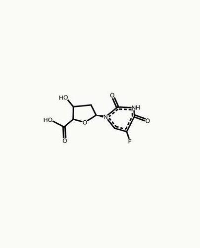 O=C(O)C1O[C@H](n2cc(F)c(=O)[nH]c2=O)CC1O